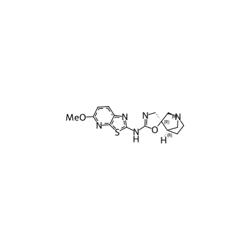 COc1ccc2nc(NC3=NC[C@@]4(C[N@@]5CC[C@@H]4C5)O3)sc2n1